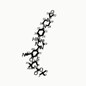 CC(C)(C)OC(=O)N1C[C@H](F)[C@H](Oc2ccc(-c3ncnc(Nc4ccc(N5CCN(C6COC6)CC5)cc4)n3)cc2C#N)C(C)(C)C1